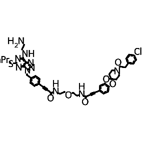 CCCSc1nc(NCCN)c2nnn(Cc3ccc(C#CC(=O)NCCOCCNC(=O)C#Cc4ccc5c(c4)OC4(CCN(C(=O)Cc6ccc(Cl)cc6)CC4)O5)cc3)c2n1